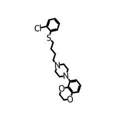 Clc1ccccc1SCCCCN1CCN(c2cccc3c2OCCO3)CC1